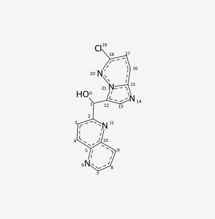 OC(c1ccc2ncccc2n1)c1cnc2ccc(Cl)nn12